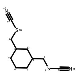 N#CSCC1CCCC(CSC#N)C1